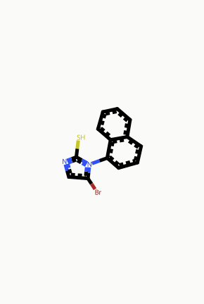 Sc1ncc(Br)n1-c1cccc2ccccc12